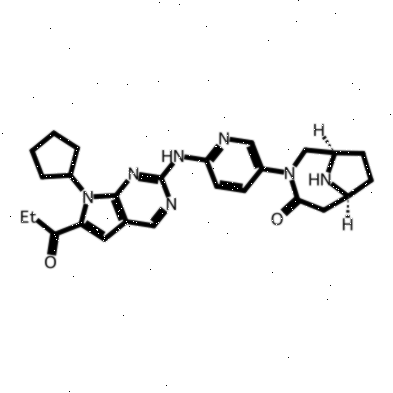 CCC(=O)c1cc2cnc(Nc3ccc(N4C[C@H]5CC[C@@H](CC4=O)N5)cn3)nc2n1C1CCCC1